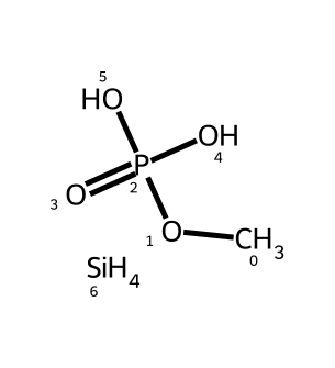 COP(=O)(O)O.[SiH4]